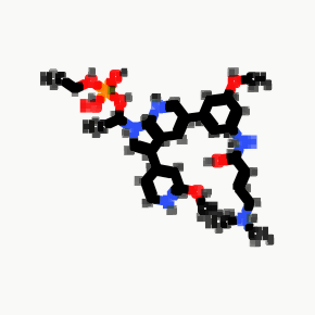 CCOP(=O)(O)OC(C)n1cc(-c2ccnc(OC)c2)c2cc(-c3cc(NC(=O)C=CCN(C)C)cc(OC)c3)cnc21